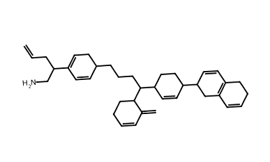 C=CCC(CN)C1=CCC(CCCC(C2C=CC(C3C=CC4=C(C=CCC4)C3)CC2)C2CCC=CC2=C)C=C1